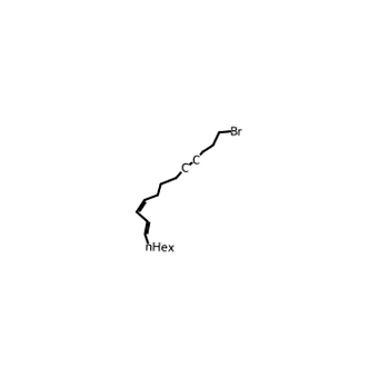 CCCCCC/C=C/C=C\CCCCCCCCBr